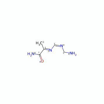 C/C(=N\C=N/CN)C(N)=O